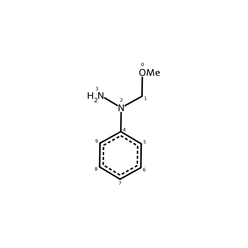 COCN(N)c1ccccc1